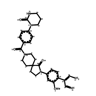 COc1cc(N2CCC3(CCN(C(=O)c4ccc(N5CCCNC5=O)cc4)CC3)C2=O)ccc1/C(C=N)=C/N